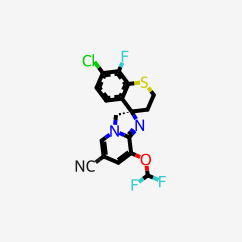 N#CC1=CN2C[C@]3(CCSc4c3ccc(Cl)c4F)N=C2C(OC(F)F)=C1